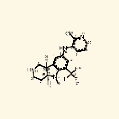 CN1c2c(cc(Nc3cccnc3Cl)cc2C(F)(F)F)[C@H]2CNCC[C@H]21